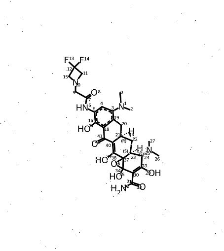 CN(C)c1cc(NC(=O)CN2CC(F)(F)C2)c(O)c2c1C[C@H]1C[C@H]3[C@H](N(C)C)C(O)=C(C(N)=O)C4(O)OC34C(O)=C1C2=O